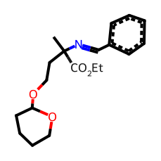 CCOC(=O)C(C)(CCOC1CCCCO1)N=Cc1ccccc1